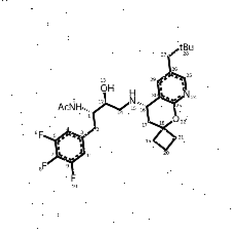 CC(=O)N[C@@H](Cc1cc(F)c(F)c(F)c1)[C@@H](O)CN[C@H]1CC2(CCC2)Oc2ncc(CC(C)(C)C)cc21